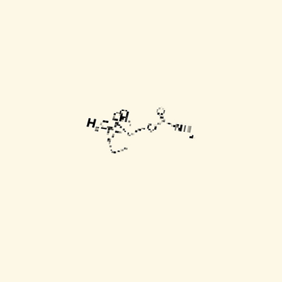 CC1(C)C2CCC1(COC(N)=O)C(=O)C2